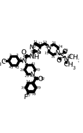 CC1CCC(N(C(=O)Nc2ncc(CN3CCN(S(=O)(=O)N(C)C)CC3)s2)C2CCN(C(=O)c3ccc(F)cc3)CC2)CC1